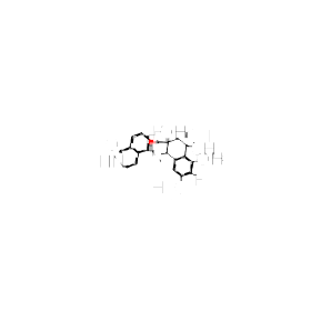 Cc1cc2c(c(O)c1F)C(C)(C)CC(O)(C(F)(F)F)C2Nc1cccc2c(=O)[nH]ccc12